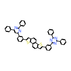 c1ccc(-c2cc(-c3cccc(-c4cc5ccc6c(ccc7cc(-c8cccc(-c9nc(-c%10ccccc%10)nc(-c%10ccccc%10)n9)c8)sc76)c5s4)c3)nc(-c3ccccc3)n2)cc1